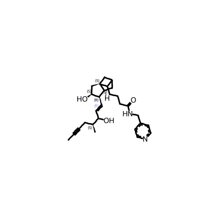 CC#CC[C@H](C)C(O)/C=C/[C@H]1[C@@H](O)C[C@]23CC(C[C@@H]12)C3CCCC(=O)NCc1ccncc1